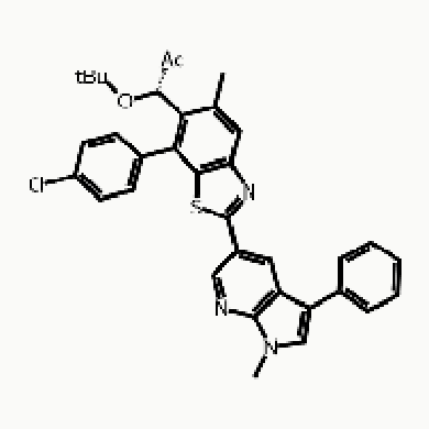 CC(=O)[C@@H](OC(C)(C)C)c1c(C)cc2nc(-c3cnc4c(c3)c(-c3ccccc3)cn4C)sc2c1-c1ccc(Cl)cc1